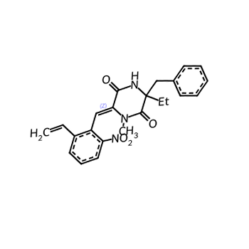 C=Cc1cccc([N+](=O)[O-])c1/C=C1/C(=O)NC(CC)(Cc2ccccc2)C(=O)N1C